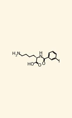 NCCCC[C@@H](NC(=O)c1cccc(I)c1)C(=O)O